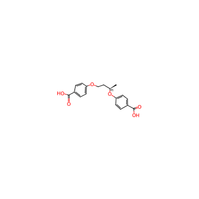 C[C@H](CCOc1ccc(C(=O)O)cc1)Oc1ccc(C(=O)O)cc1